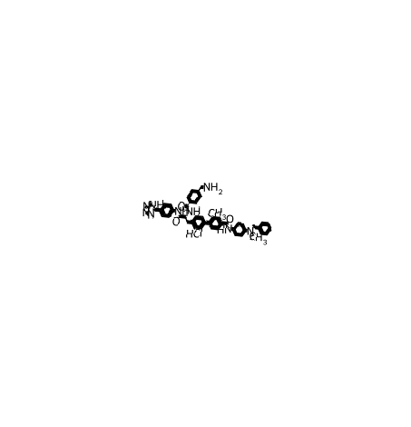 Cc1cc(C(=O)NC2CCC(N(C)Cc3ccccc3)CC2)ccc1-c1ccc(C[C@H](NC(=O)[C@H]2CC[C@H](CN)CC2)C(=O)Nc2ccc(-c3nnn[nH]3)cc2)cc1.Cl